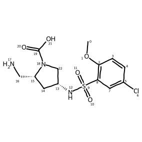 COc1ccc(Cl)cc1S(=O)(=O)N[C@@H]1C[C@H](CN)N(C(=O)O)C1